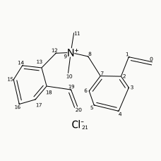 C=Cc1ccccc1C[N+](C)(C)Cc1ccccc1C=C.[Cl-]